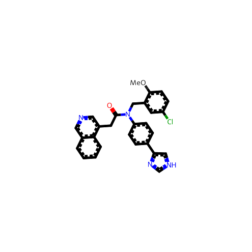 COc1ccc(Cl)cc1CN(C(=O)Cc1cncc2ccccc12)c1ccc(-c2c[nH]cn2)cc1